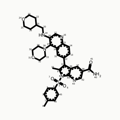 Cc1ccc(S(=O)(=O)n2c(C)c(-c3ccc4ncc(NCC5CCOCC5)c(N5CCOCC5)c4c3)c3cc(C(N)=O)cnc32)cc1